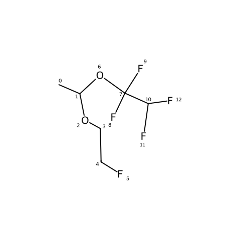 CC(OCCF)OC(F)(F)C(F)F